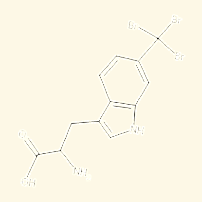 NC(Cc1c[nH]c2cc(C(Br)(Br)Br)ccc12)C(=O)O